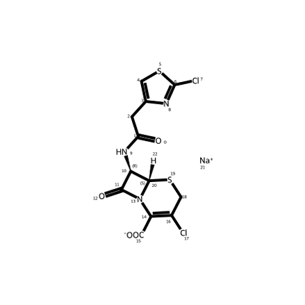 O=C(Cc1csc(Cl)n1)N[C@@H]1C(=O)N2C(C(=O)[O-])=C(Cl)CS[C@@H]12.[Na+]